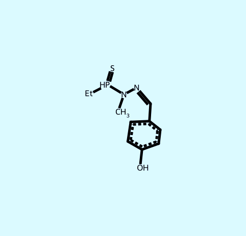 CC[PH](=S)N(C)/N=C\c1ccc(O)cc1